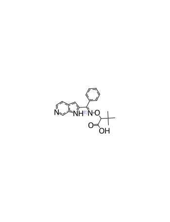 CC(C)(C)C(O/N=C(\c1ccccc1)c1cc2ccncc2[nH]1)C(=O)O